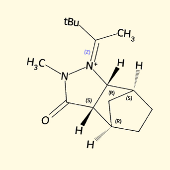 C/C(=[N+]1\[C@@H]2[C@H]3CC[C@H](C3)[C@@H]2C(=O)N1C)C(C)(C)C